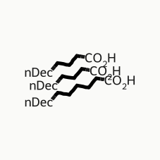 CCCCCCCCCCCCCC(=O)O.CCCCCCCCCCCCCC(=O)O.CCCCCCCCCCCCCCCC(=O)O